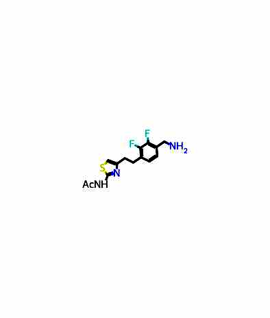 CC(=O)Nc1nc(CCc2ccc(CN)c(F)c2F)cs1